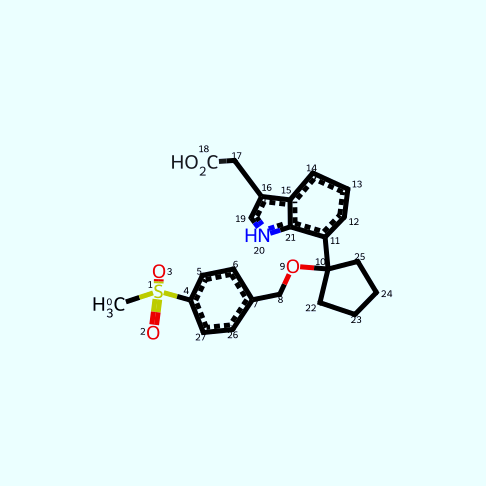 CS(=O)(=O)c1ccc(COC2(c3cccc4c(CC(=O)O)c[nH]c34)CCCC2)cc1